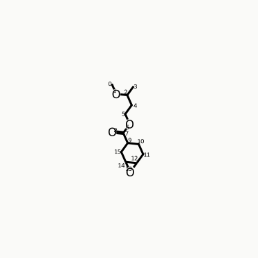 COC(C)CCOC(=O)C1CCC2OC2C1